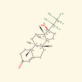 C[C@]12CCC(=O)C=C1CC[C@@H]1[C@@H]2CC[C@@]2(C)[C@H]1CC[C@@]2(O)C(F)(F)C(F)(F)F